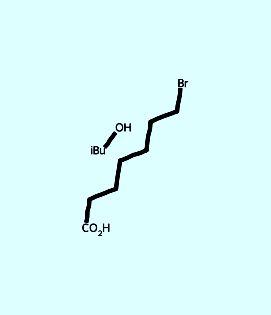 CCC(C)O.O=C(O)CCCCCCBr